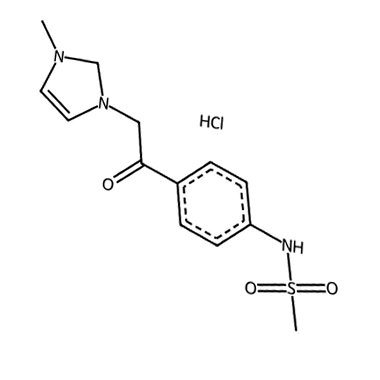 CN1C=CN(CC(=O)c2ccc(NS(C)(=O)=O)cc2)C1.Cl